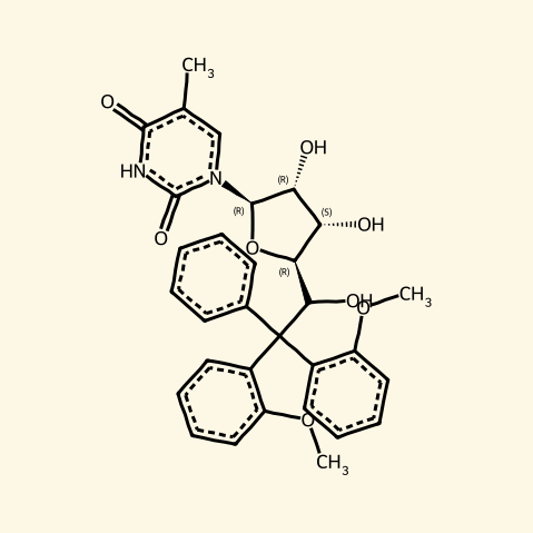 COc1ccccc1C(c1ccccc1)(c1ccccc1OC)C(O)[C@H]1O[C@@H](n2cc(C)c(=O)[nH]c2=O)[C@H](O)[C@@H]1O